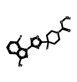 CC(C)c1nn(-c2noc(C3(F)CCN(C(=O)OC(C)(C)C)CC3)n2)c2c(F)cccc12